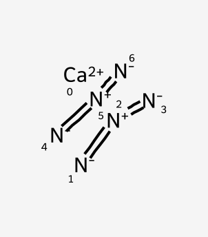 [Ca+2].[N-]=[N+]=[N-].[N-]=[N+]=[N-]